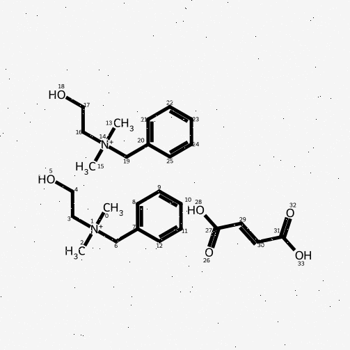 C[N+](C)(CCO)Cc1ccccc1.C[N+](C)(CCO)Cc1ccccc1.O=C(O)/C=C/C(=O)O